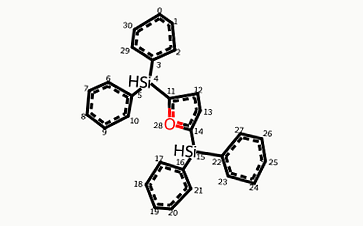 c1ccc([SiH](c2ccccc2)c2ccc([SiH](c3ccccc3)c3ccccc3)o2)cc1